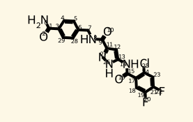 NC(=O)c1ccc(CNC(=O)c2cc(NC(=O)c3cc(F)c(F)cc3Cl)[nH]n2)cc1